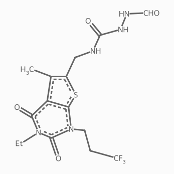 CCn1c(=O)c2c(C)c(CNC(=O)NNC=O)sc2n(CCC(F)(F)F)c1=O